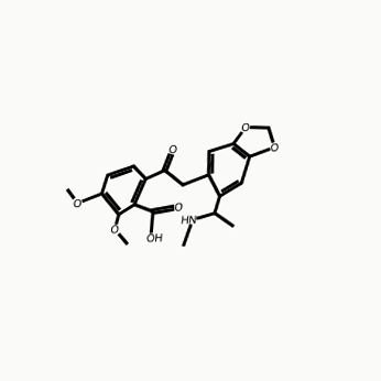 CNC(C)c1cc2c(cc1CC(=O)c1ccc(OC)c(OC)c1C(=O)O)OCO2